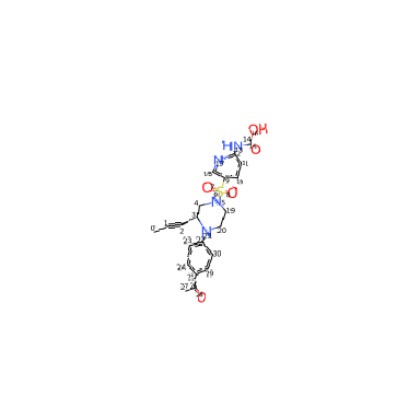 CC#C[C@H]1CN(S(=O)(=O)c2ccc(NC(=O)O)nc2)CCN1c1ccc(C(C)=O)cc1